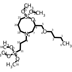 CCCCOCC1CN(CCC[Si](OC)(OC)OC)CCC[Si](OC)(OC)O1